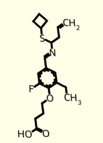 C=CCC(/N=C/c1cc(F)c(OCCCC(=O)O)c(CC)c1)SC1CCC1